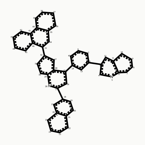 c1cc(-c2cnc3ccccc3c2)cc(-c2cc(-c3ccc4ccccc4c3)nc3ccc(-c4cc5ccccc5c5ccccc45)cc23)c1